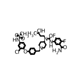 CCCCN(C(=O)Nc1cc(C(N)=O)c(F)cc1F)C1CCN(Cc2ccc(Oc3ccc(NS(C)(=O)=O)cc3Cl)cc2)CC1.Cl